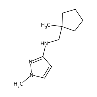 Cn1ccc(NCC2(C)CCCC2)n1